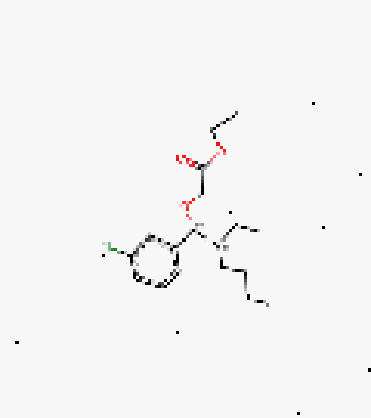 CCCC[C@H](CC)[C@@H](OCC(=O)OCC)c1cccc(Cl)c1